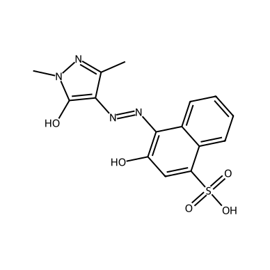 Cc1nn(C)c(O)c1N=Nc1c(O)cc(S(=O)(=O)O)c2ccccc12